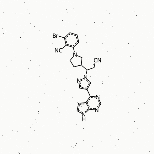 N#CCC(C1CCN(c2cccc(Br)c2C#N)C1)n1cc(-c2ncnc3[nH]ccc23)cn1